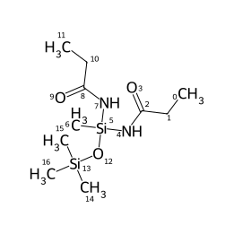 CCC(=O)N[Si](C)(NC(=O)CC)O[Si](C)(C)C